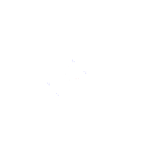 Cc1cc2ccc3cccnc3c2nc1C.O=C1C(=O)c2cccnc2-c2ncccc21